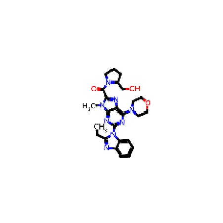 CCc1nc2ccccc2n1-c1nc(N2CCOCC2)c2nc(C(=O)N3CCCC3CO)n(C)c2n1